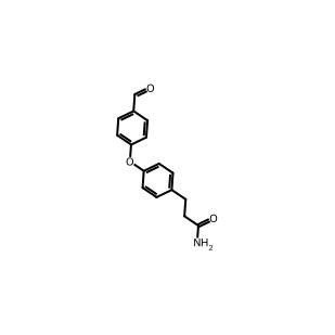 NC(=O)CCc1ccc(Oc2ccc(C=O)cc2)cc1